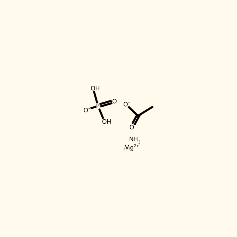 CC(=O)[O-].N.O=P([O-])(O)O.[Mg+2]